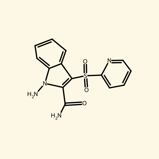 NC(=O)c1c(S(=O)(=O)c2ccccn2)c2ccccc2n1N